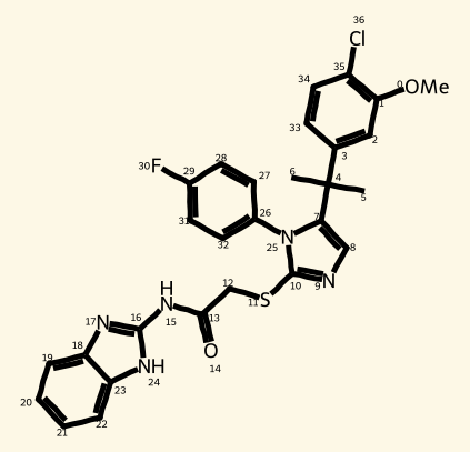 COc1cc(C(C)(C)c2cnc(SCC(=O)Nc3nc4ccccc4[nH]3)n2-c2ccc(F)cc2)ccc1Cl